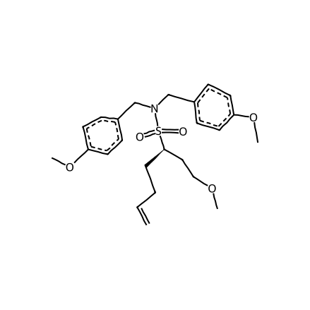 C=CCC[C@H](CCOC)S(=O)(=O)N(Cc1ccc(OC)cc1)Cc1ccc(OC)cc1